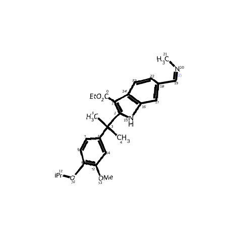 CCOC(=O)c1c(C(C)(C)c2ccc(OC(C)C)c(OC)c2)[nH]c2cc(/C=N\C)ccc12